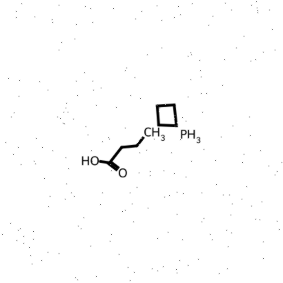 C1CCC1.CCCC(=O)O.P